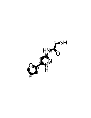 O=C(CS)Nc1cc(-c2ccco2)[nH]n1